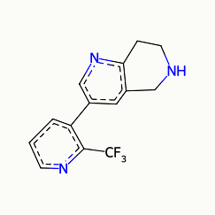 FC(F)(F)c1ncccc1-c1cnc2c(c1)CNCC2